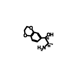 C[C@H](N)[C@H](O)c1ccc2c(c1)OCCO2